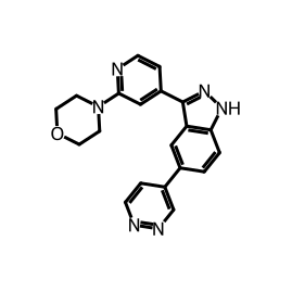 c1cc(-c2ccc3[nH]nc(-c4ccnc(N5CCOCC5)c4)c3c2)cnn1